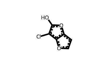 Oc1oc2ccoc2c1Cl